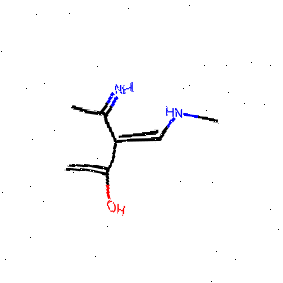 C=C(O)/C(=C/NC)C(C)=N